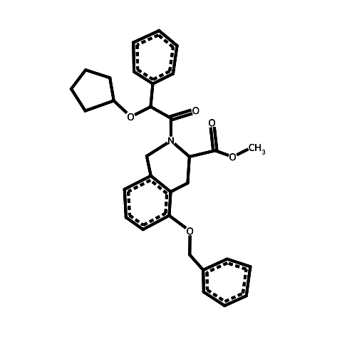 COC(=O)C1Cc2c(cccc2OCc2ccccc2)CN1C(=O)C(OC1CCCC1)c1ccccc1